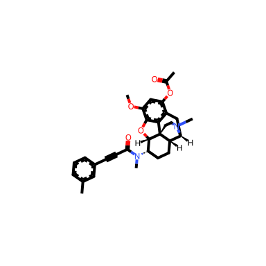 COc1cc(OC(C)=O)c2c3c1O[C@H]1[C@@H](N(C)C(=O)C#Cc4cccc(C)c4)CC[C@H]4[C@@H](C2)N(C)CC[C@@]341